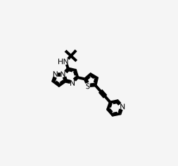 CC(C)(C)Nc1cc(-c2ccc(C#Cc3cccnc3)s2)nc2ccnn12